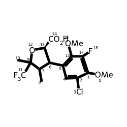 COc1c(Cl)cc(C2C(C)C(C)(C(F)(F)F)O[C@H]2C(=O)O)c(OC)c1F